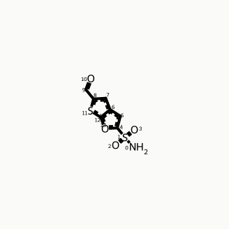 NS(=O)(=O)c1cc2cc(C=O)sc2o1